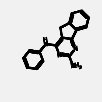 Nc1nc(Nc2ccccc2)c2c(n1)-c1ccccc1C2